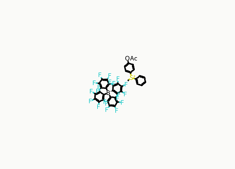 CC(=O)Oc1ccc([S+](C)c2ccccc2)cc1.Fc1c(F)c(F)c([B-](c2c(F)c(F)c(F)c(F)c2F)(c2c(F)c(F)c(F)c(F)c2F)c2c(F)c(F)c(F)c(F)c2F)c(F)c1F